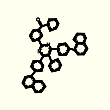 O=C(c1ccccc1)c1cccc(-c2nc(-c3ccc(-c4cccc5ccccc45)cc3)c(-c3ccccc3)c(-c3ccc(-c4cccc5ccccc45)cc3)n2)c1